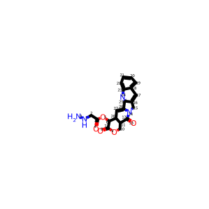 NNCC(=O)OC1C(=O)OCC2C(=O)N3Cc4cc5ccccc5nc4C3=CC21